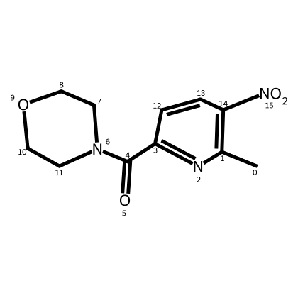 Cc1nc(C(=O)N2CCOCC2)ccc1[N+](=O)[O-]